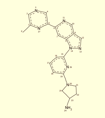 Cc1cncc(-c2cc3c(cn2)cnn3-c2cccc(N3CCC(N)C3)n2)n1